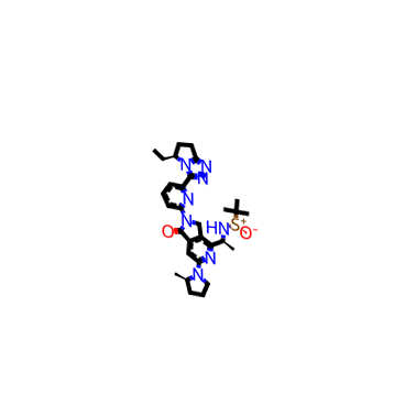 CC[C@H]1CCc2nnc(-c3cccc(N4Cc5c(cc(N6CCC[C@H]6C)nc5[C@H](C)N[S@@+]([O-])C(C)(C)C)C4=O)n3)n21